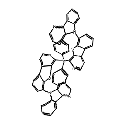 c1ccc([Si](c2ccccc2)(c2nccc3c2sc2c(-n4c5ccccc5c5ncccc54)cccc23)c2nccc3c2sc2c(-n4c5ccccc5c5ncccc54)cccc23)cc1